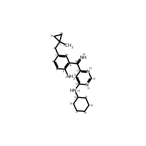 CC1(Cc2ccc(N)c(C(=N)c3cc(NC4CCCCC4)ncn3)c2)CC1